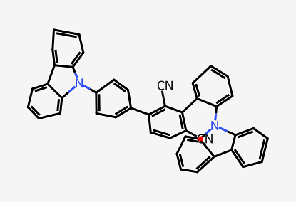 N#Cc1ccc(-c2ccc(-n3c4ccccc4c4ccccc43)cc2)c(C#N)c1-c1ccccc1-n1c2ccccc2c2ccccc21